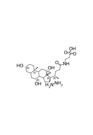 C[C@H](CCC(=O)NCCS(=O)(=O)O)[C@H]1CCC2C3C(C[C@H](O)[C@@]21C)[C@@]1(C)CC[C@@H](O)CC1C[C@H]3O.NN